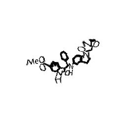 COC(=O)c1ccc2c(c1)NC(=O)/C2=C(\Nc1ccc2c(c1)CCN2C(=O)Cc1ncco1)c1ccccc1